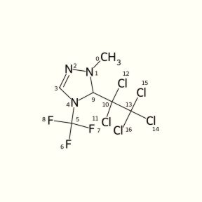 CN1N=CN(C(F)(F)F)C1C(Cl)(Cl)C(Cl)(Cl)Cl